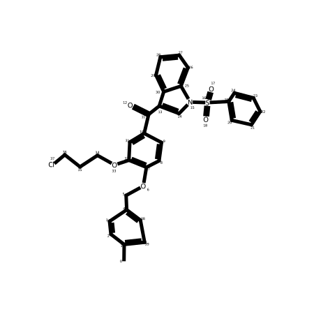 Cc1ccc(COc2ccc(C(=O)c3cn(S(=O)(=O)c4ccccc4)c4ccccc34)cc2OCCCCl)cc1